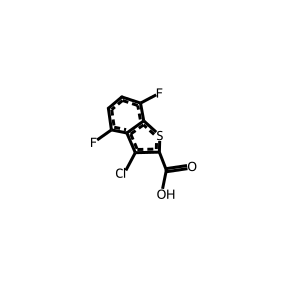 O=C(O)c1sc2c(F)ccc(F)c2c1Cl